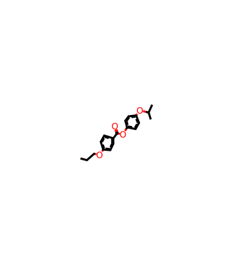 CCCOc1ccc(C(=O)Oc2ccc(OC(C)C)cc2)cc1